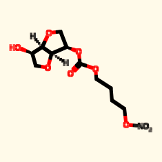 O=C(OCCCCO[N+](=O)[O-])O[C@@H]1CO[C@H]2[C@@H]1OC[C@H]2O